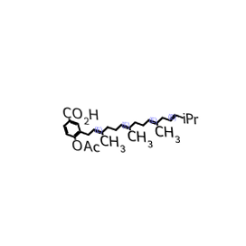 CC(=O)Oc1ccc(C(=O)O)cc1C/C=C(\C)CC/C=C(\C)CC/C=C(\C)C/C=C/C(C)C